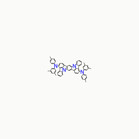 Cc1ccc(N(c2cc(C)cc(C)c2)c2ccc3c4cc5c(cc4n4c6ccccc6c2c34)c2ccc(N(c3ccc(C)cc3)c3cc(C)cc(C)c3)c3c4ccccc4n5c23)cc1